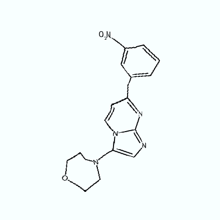 O=[N+]([O-])c1cccc(-c2ccn3c(N4CCOCC4)cnc3n2)c1